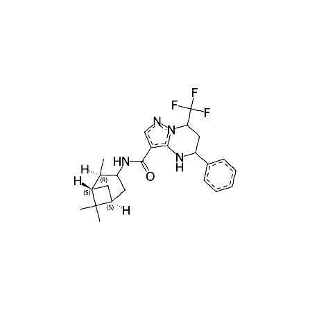 C[C@H]1C(NC(=O)c2cnn3c2NC(c2ccccc2)CC3C(F)(F)F)C[C@@H]2C[C@@H]1C2(C)C